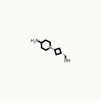 NC1CCN([C@H]2C[C@@H](CO)C2)CC1